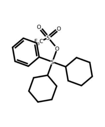 O=S(=O)(OS(c1ccccc1)(C1CCCCC1)C1CCCCC1)C(F)(F)F